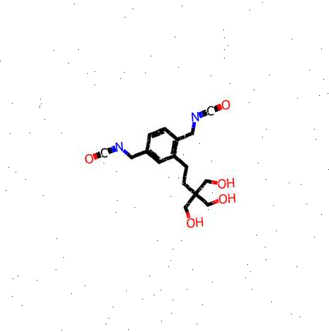 O=C=NCc1ccc(CN=C=O)c(CCC(CO)(CO)CO)c1